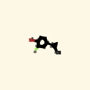 N#CC1C[C@@H]1c1ccc(Br)c(F)c1